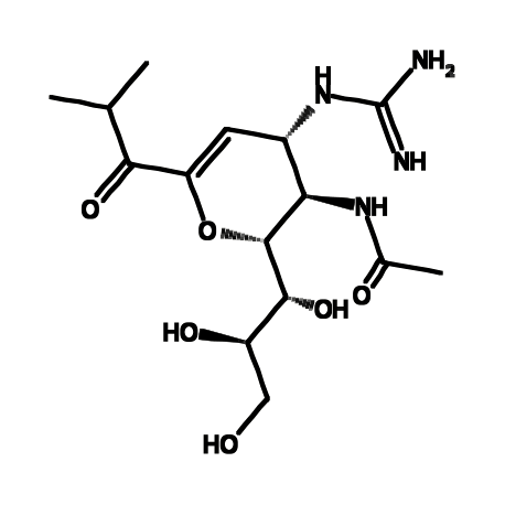 CC(=O)N[C@H]1[C@H]([C@H](O)[C@H](O)CO)OC(C(=O)C(C)C)=C[C@@H]1NC(=N)N